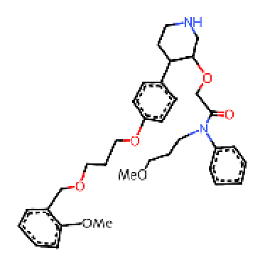 COCCCN(C(=O)COC1CNCCC1c1ccc(OCCCOCc2ccccc2OC)cc1)c1ccccc1